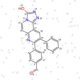 O=Cc1ccc(-c2nc3ccn4c(O)nnc4c3cc2-c2ccccc2)cc1